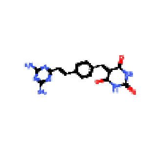 Nc1nc(N)nc(C=Cc2ccc(C=C3C(=O)NC(=O)NC3=O)cc2)n1